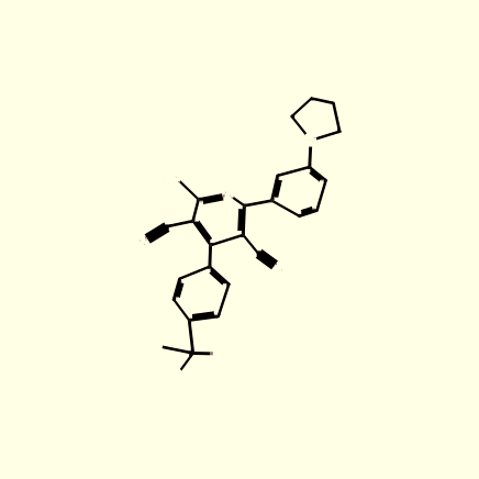 N#Cc1c(N)nc(-c2cccc(N3CCCC3)c2)c(C#N)c1-c1ccc(C(F)(F)F)cc1